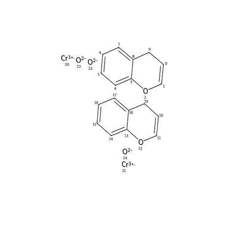 C1=COc2ccccc2C1.C1=COc2ccccc2C1.[Cr+3].[Cr+3].[O-2].[O-2].[O-2]